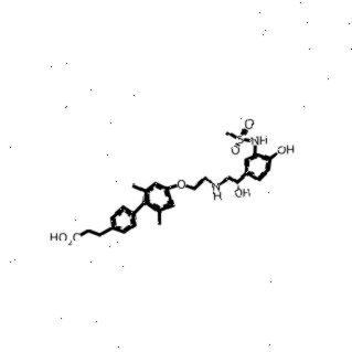 Cc1cc(OCCNC[C@@H](O)c2ccc(O)c(NS(C)(=O)=O)c2)cc(C)c1-c1ccc(CCC(=O)O)cc1